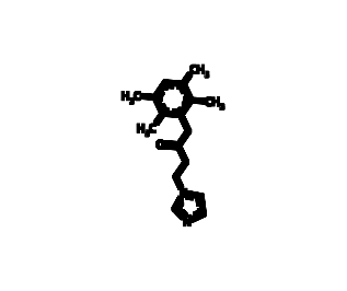 Cc1cc(C)c(C)c(CC(=O)CCn2ccnc2)c1C